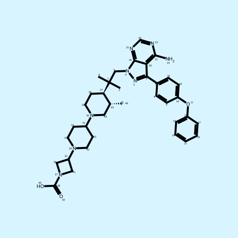 CC(C)(Cn1nc(-c2ccc(Oc3ccccc3)cc2)c2c(N)ncnc21)[C@@H]1CCN(C2CCN(C3CN(C(=O)O)C3)CC2)C[C@H]1F